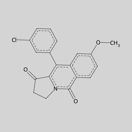 COc1ccc2c(=O)n3c(c(-c4cccc(Cl)c4)c2c1)C(=O)CC3